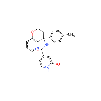 Cc1ccc(C2(NC(=O)c3cc[nH]c(=O)c3)CCOc3cccnc32)cc1